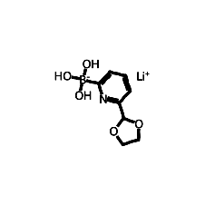 O[B-](O)(O)c1cccc(C2OCCO2)n1.[Li+]